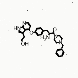 NC(Cc1ccc(Oc2ccnc3[nH]cc(CCO)c23)cc1)C(=O)N1CCN(Cc2ccccc2)CC1